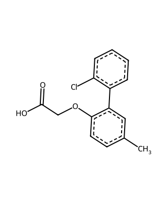 Cc1ccc(OCC(=O)O)c(-c2ccccc2Cl)c1